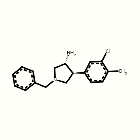 Cc1ccc([C@H]2CN(Cc3ccccc3)C[C@@H]2N)cc1Cl